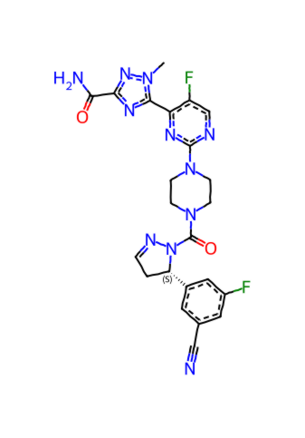 Cn1nc(C(N)=O)nc1-c1nc(N2CCN(C(=O)N3N=CC[C@H]3c3cc(F)cc(C#N)c3)CC2)ncc1F